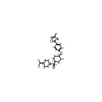 Cc1noc(-c2ccc(OC3CCC(C(=O)N4CCN(C(C)C)CC4)CC3)cc2)n1